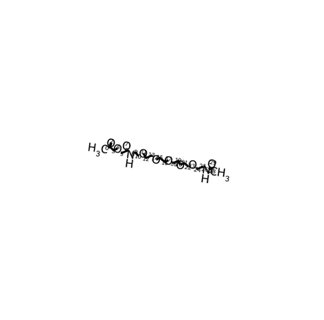 CC(=O)COCC(=O)NCCOCCOCCOCCOCCOCCNC(C)=O